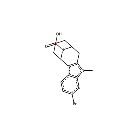 Cn1c2c(c3ccc(Br)nc31)C1CCCC(C2)N1C(=O)O